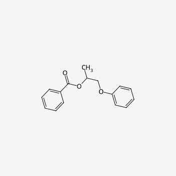 CC(COc1ccccc1)OC(=O)c1ccccc1